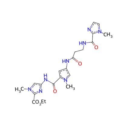 CCOC(=O)c1nc(NC(=O)c2cc(NC(=O)CCNC(=O)c3nccn3C)cn2C)cn1C